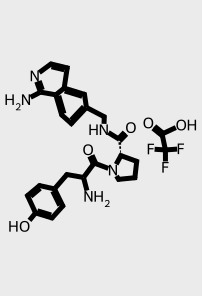 Nc1nccc2cc(CNC(=O)[C@@H]3CCCN3C(=O)C(N)Cc3ccc(O)cc3)ccc12.O=C(O)C(F)(F)F